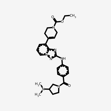 CCOC(=O)N1CC=C(c2cccn3nc(Nc4ccc(C(=O)N5CCC(N(C)C)C5)cc4)nc23)CC1